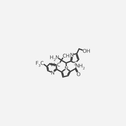 CC(C)(N)C(c1nc(CO)cs1)n1c(C(N)=O)ccc1-c1ccc(C(F)(F)F)cn1